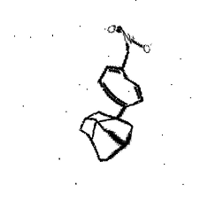 O=[N+]([O-])c1ccc(C23C[C]4CC(CC(C4)C2)C3)cc1